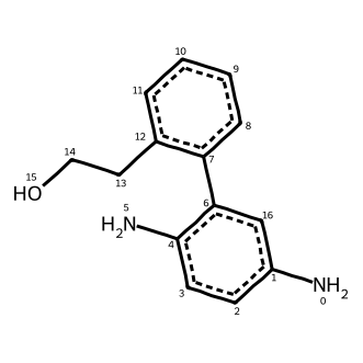 Nc1ccc(N)c(-c2ccccc2CCO)c1